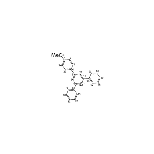 COc1ccc(-c2cc(-c3ccccc3)[s+]c(-c3ccccc3)c2)cc1